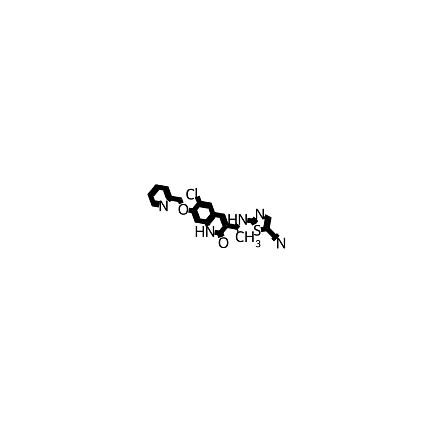 C[C@@H](Nc1ncc(C#N)s1)c1cc2cc(Cl)c(OCc3ccccn3)cc2[nH]c1=O